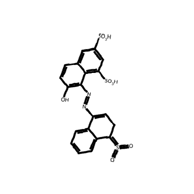 O=S(=O)=C1CC=C(/N=N/c2c(O)ccc3cc(S(=O)(=O)O)cc(S(=O)(=O)O)c23)c2ccccc21